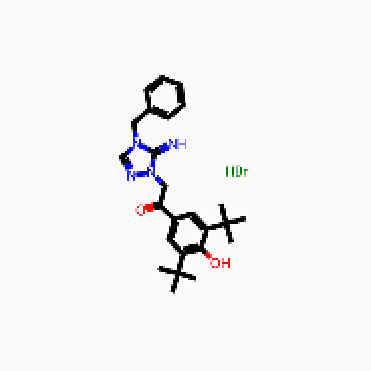 Br.CC(C)(C)c1cc(C(=O)Cn2ncn(Cc3ccccc3)c2=N)cc(C(C)(C)C)c1O